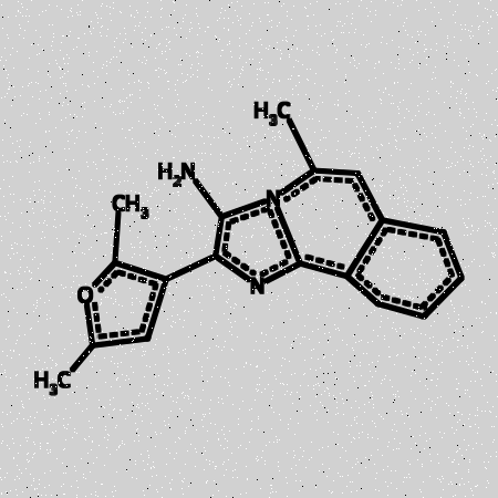 Cc1cc(-c2nc3c4ccccc4cc(C)n3c2N)c(C)o1